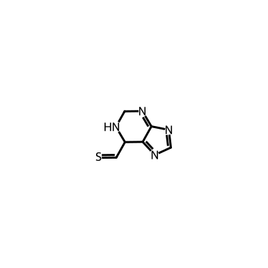 S=CC1NCN=C2N=CN=C21